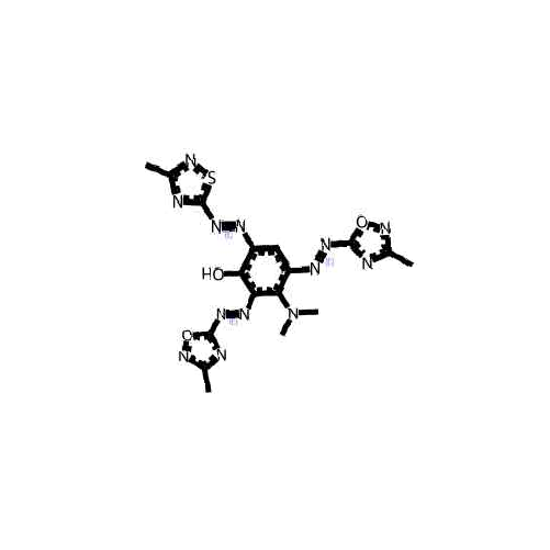 Cc1noc(/N=N/c2cc(/N=N/c3nc(C)ns3)c(O)c(/N=N/c3nc(C)no3)c2N(C)C)n1